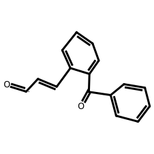 O=[C]/C=C/c1ccccc1C(=O)c1ccccc1